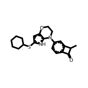 CC1C(=O)c2ccc(N3CCOc4cc(SC5CCCCC5)[nH]c43)cc21